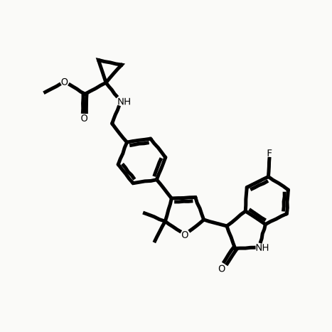 COC(=O)C1(NCc2ccc(C3=CC(C4C(=O)Nc5ccc(F)cc54)OC3(C)C)cc2)CC1